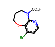 O=C(O)N1CCCOc2c(Br)ccnc21